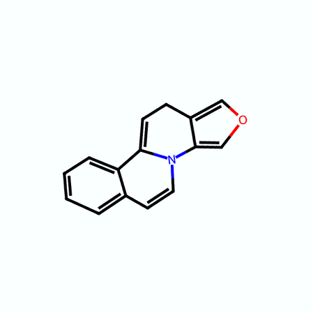 C1=CN2C(=CCc3cocc32)c2ccccc21